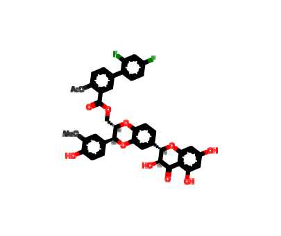 COc1cc([C@@H]2Oc3cc([C@@H]4Oc5cc(O)cc(O)c5C(=O)[C@H]4O)ccc3O[C@H]2COC(=O)c2cc(-c3ccc(F)cc3F)ccc2OC(C)=O)ccc1O